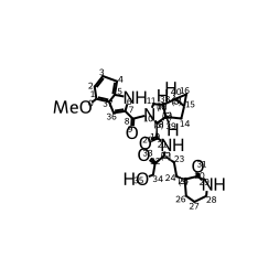 COc1cccc2[nH]c(C(=O)N3C[C@H]4[C@H](CC5C[C@@H]54)[C@H]3C(=O)N[C@@H](CC[C@@H]3CCCNC3=O)C(=O)CO)cc12